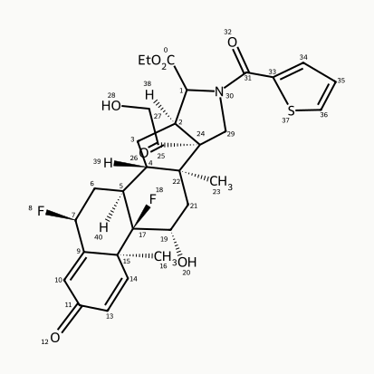 CCOC(=O)C1[C@@H]2C[C@H]3[C@@H]4C[C@H](F)C5=CC(=O)C=C[C@]5(C)[C@@]4(F)[C@@H](O)C[C@]3(C)[C@]2(C(=O)CO)CN1C(=O)c1cccs1